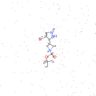 CN1C=C(Br)C(C2CN(C(=O)OC(C)(C)C)C2)N1